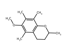 COc1c(C)c(C)c2c(c1C)CC[C](C)O2